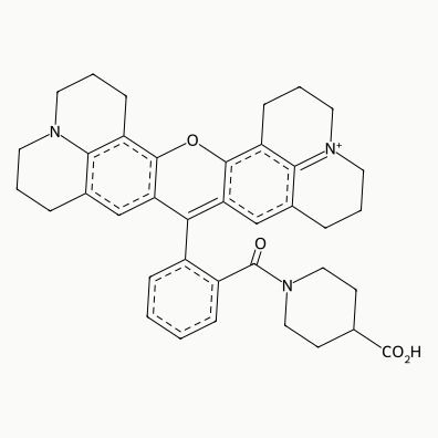 O=C(O)C1CCN(C(=O)c2ccccc2C2=c3cc4c5c(c3Oc3c2cc2c6c3CCCN6CCC2)CCC[N+]=5CCC4)CC1